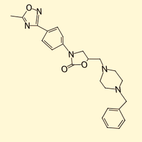 Cc1nc(-c2ccc(N3CC(CN4CCN(Cc5ccccc5)CC4)OC3=O)cc2)no1